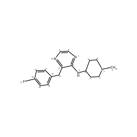 CN1CCC(Nc2nccnc2Cc2ccc(F)cc2)CC1